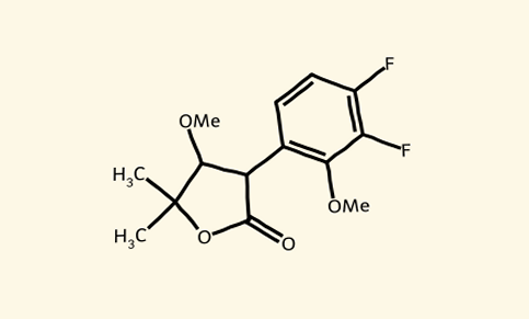 COc1c(C2C(=O)OC(C)(C)C2OC)ccc(F)c1F